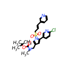 CN(Cc1cc(-c2ccc(Cl)nc2)n(S(=O)(=O)CC=Cc2cccnc2)c1)C(=O)OC(C)(C)C